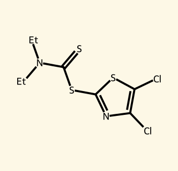 CCN(CC)C(=S)Sc1nc(Cl)c(Cl)s1